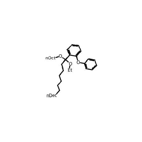 CCCCCCCCCCCCCCCCC(OCC)(OCCCCCCCC)c1ccccc1Oc1ccccc1